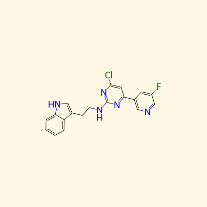 Fc1cncc(-c2cc(Cl)nc(NCCc3c[nH]c4ccccc34)n2)c1